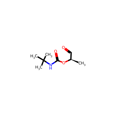 C[C@H](C=O)OC(=O)NC(C)(C)C